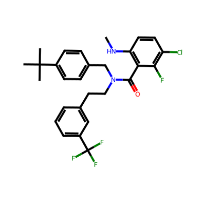 CNc1ccc(Cl)c(F)c1C(=O)N(CCc1cccc(C(F)(F)F)c1)Cc1ccc(C(C)(C)C)cc1